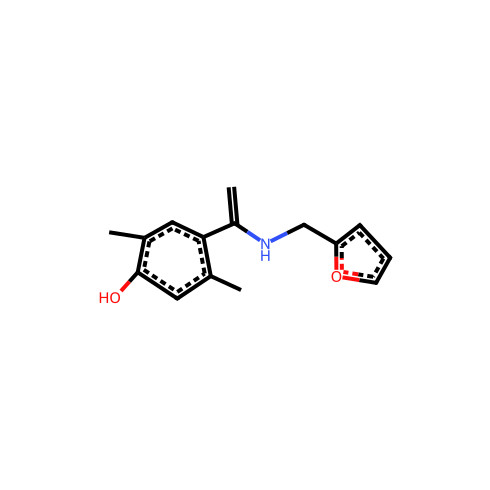 C=C(NCc1ccco1)c1cc(C)c(O)cc1C